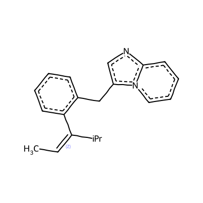 C/C=C(\c1ccccc1Cc1cnc2ccccn12)C(C)C